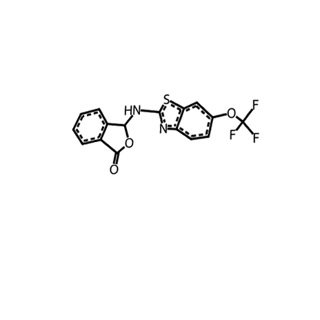 O=C1OC(Nc2nc3ccc(OC(F)(F)F)cc3s2)c2ccccc21